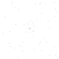 CS(=O)(=O)Nc1nc(Cl)cc(Cl)n1